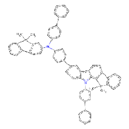 CC1(C)c2ccccc2-c2ccc(N(c3ccc(-c4ccccc4)cc3)c3ccc(-c4ccc5c(c4)c4ccc6c(c4n5-c4ccc(-c5ccccc5)cc4)C(C)(C)c4ccccc4-6)cc3)cc21